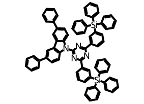 c1ccc(-c2ccc3c(c2)c2cc(-c4ccccc4)ccc2n3-c2nc(-c3cccc([Si](c4ccccc4)(c4ccccc4)c4ccccc4)c3)nc(-c3cccc([Si](c4ccccc4)(c4ccccc4)c4ccccc4)c3)n2)cc1